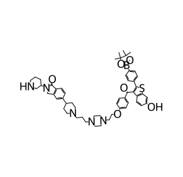 CC1(C)OB(c2ccc(-c3sc4cc(O)ccc4c3C(=O)c3ccc(OCCN4CCN(CCCN5CCC(c6ccc7c(c6)CN(C6CCCNC6)C7=O)CC5)CC4)cc3)cc2)OC1(C)C